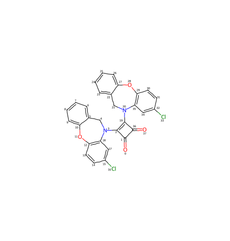 O=c1c(N2Cc3ccccc3Oc3ccc(Cl)cc32)c(N2Cc3ccccc3Oc3ccc(Cl)cc32)c1=O